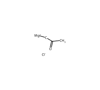 CC(=O)[CH2][Mg+].[Cl-]